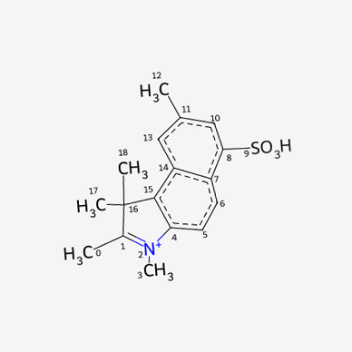 CC1=[N+](C)c2ccc3c(S(=O)(=O)O)cc(C)cc3c2C1(C)C